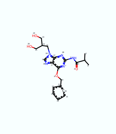 CC(C)C(=O)Nc1nc(OCc2ccccc2)c2ncn(CC(CO)CO)c2n1